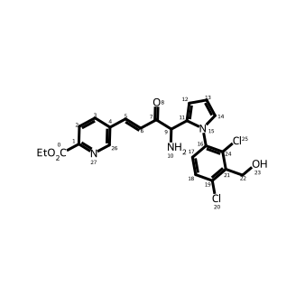 CCOC(=O)c1ccc(/C=C/C(=O)C(N)c2cccn2-c2ccc(Cl)c(CO)c2Cl)cn1